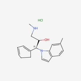 CNCC(O)[C@H](C1=CC=CCC1)n1ccc2ccc(C)cc21.Cl